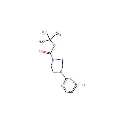 CC(C)(C)OC(=O)N1CCN(c2nccc(Cl)n2)CC1